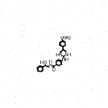 COc1ccc(C2CNC(Nc3ccc(C(=O)NCC(O)c4ccccc4)cc3)NC2)cc1